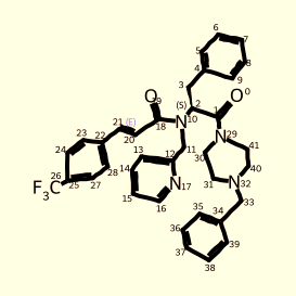 O=C([C@H](Cc1ccccc1)N(Cc1ccccn1)C(=O)/C=C/c1ccc(C(F)(F)F)cc1)N1CCN(Cc2ccccc2)CC1